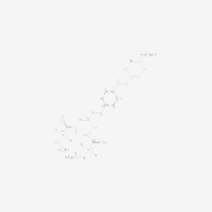 CCCCCC1CCC(COc2ccc(CCC(COC(=O)C(C)(C)CO)COC(=O)C(C)(C)COC)cc2)CC1